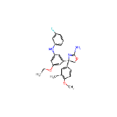 CCOc1cc(Nc2cccc(F)c2)cc(C2(c3ccc(OC)c(C)c3)COC(N)=N2)c1